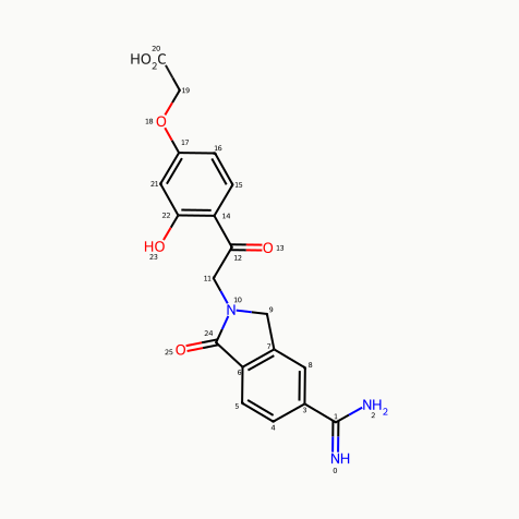 N=C(N)c1ccc2c(c1)CN(CC(=O)c1ccc(OCC(=O)O)cc1O)C2=O